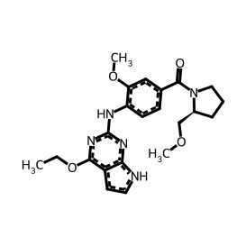 CCOc1nc(Nc2ccc(C(=O)N3CCC[C@H]3COC)cc2OC)nc2[nH]ccc12